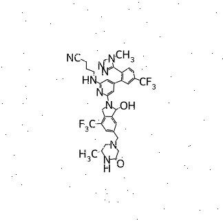 C[C@@H]1CN(Cc2cc3c(c(C(F)(F)F)c2)CN(c2cc(-c4cc(C(F)(F)F)ccc4-c4nncn4C)cc(NCCCC#N)n2)C3O)CC(=O)N1